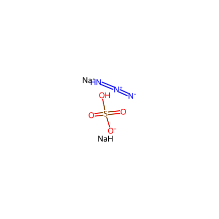 O=S(=O)([O-])O.[N-]=[N+]=N.[Na+].[NaH]